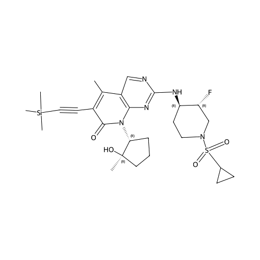 Cc1c(C#C[Si](C)(C)C)c(=O)n([C@@H]2CCC[C@@]2(C)O)c2nc(N[C@@H]3CCN(S(=O)(=O)C4CC4)C[C@H]3F)ncc12